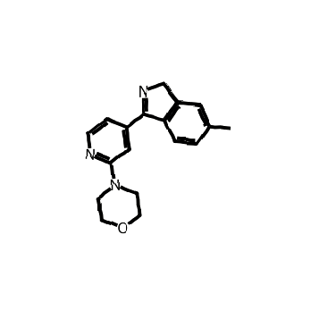 Cc1ccc2c(c1)CN=C2c1ccnc(N2CCOCC2)c1